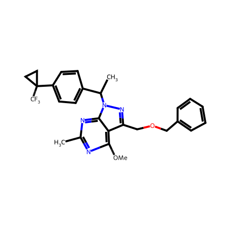 COc1nc(C)nc2c1c(COCc1ccccc1)nn2C(C)c1ccc(C2(C(F)(F)F)CC2)cc1